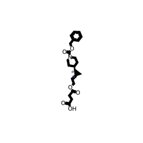 O=C(O)CCC(=O)OC/C=C1\C[C@@H]1C1CCN(C(=O)OCc2ccccc2)CC1